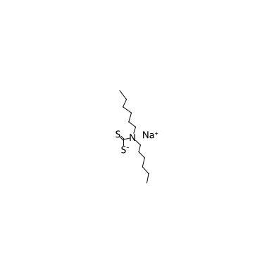 CCCCCCN(CCCCCC)C(=S)[S-].[Na+]